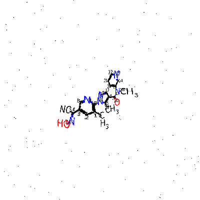 Cc1cc(C(C#N)=NO)cnc1-n1ncc(C(=O)N(C)c2cccnc2)c1C